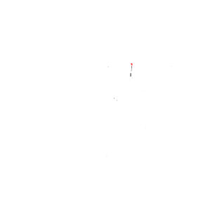 CC1(C)CCC(C)(C)c2cc(-c3cc4c(cc3N(c3ccc(-c5ccccc5)cc3)c3cccc5ccccc35)C(c3ccccc3)(c3ccccc3)c3ccccc3-4)ccc21